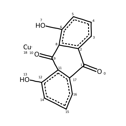 O=C1c2cccc(O)c2C(=O)c2c(O)cccc21.[Cu]